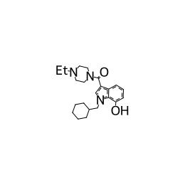 CCN1CCN(C(=O)c2cn(CC3CCCCC3)c3c(O)cccc23)CC1